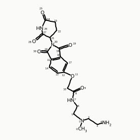 CN(CCN)CCNC(=O)COc1ccc2c(c1)C(=O)N(C1CCC(=O)NC1=O)C2=O